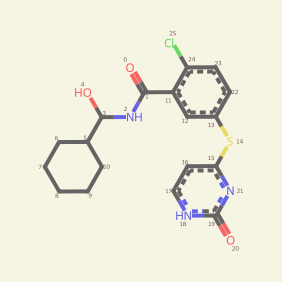 O=C(NC(O)C1CCCCC1)c1cc(Sc2cc[nH]c(=O)n2)ccc1Cl